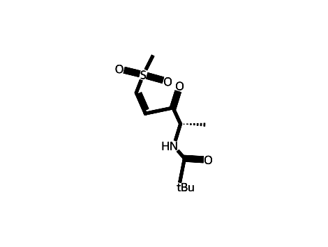 C[C@H](NC(=O)C(C)(C)C)C(=O)/C=C\S(C)(=O)=O